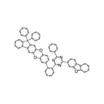 c1ccc(-c2nc(-c3ccc4c(c3)oc3ccccc34)nc(-c3ccccc3-c3ccc4c(c3)Oc3cc5c(cc3O4)C(c3ccccc3)(c3ccccc3)c3ccccc3-5)n2)cc1